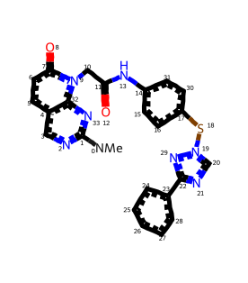 CNc1ncc2ccc(=O)n(CC(=O)Nc3ccc(Sn4cnc(-c5ccccc5)n4)cc3)c2n1